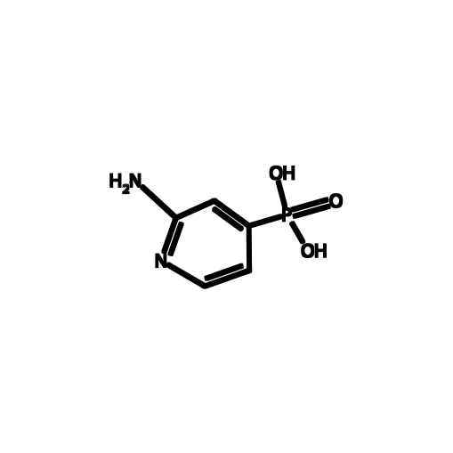 Nc1cc(P(=O)(O)O)ccn1